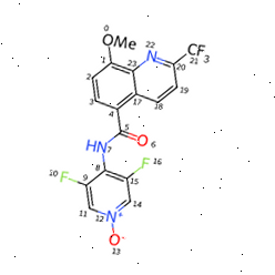 COc1ccc(C(=O)Nc2c(F)c[n+]([O-])cc2F)c2ccc(C(F)(F)F)nc12